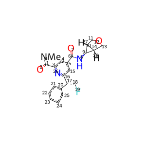 CNC(=O)c1cc(C(=O)N[C@H]2[C@@H]3COC[C@@H]32)cc([C@H](CF)c2ccccc2)n1